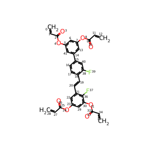 C=CC(=O)Oc1cc(OC(=O)C=C)cc(-c2ccc(/C=C/c3cc(OC(=O)C=C)cc(OC(=O)C=C)c3F)c(F)c2)c1